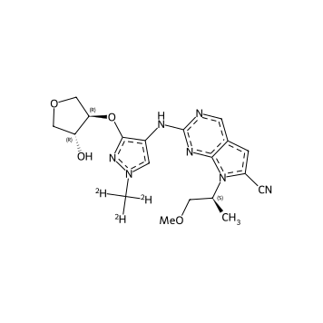 [2H]C([2H])([2H])n1cc(Nc2ncc3cc(C#N)n([C@@H](C)COC)c3n2)c(O[C@@H]2COC[C@H]2O)n1